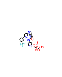 O=C(Nc1ccnc(OCC(O)(O)CO)c1)N1c2nc(-c3cccc(C(F)(F)F)c3)ccc2N2CC[C@H]1C2